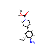 COc1cc(C2=CCN(C(=O)OC(C)(C)C)CC2)ccc1N